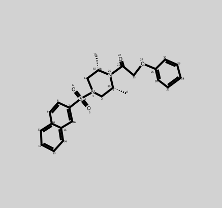 C[C@@H]1CN(S(=O)(=O)c2ccc3ccccc3c2)C[C@H](C)N1C(=O)COc1ccccc1